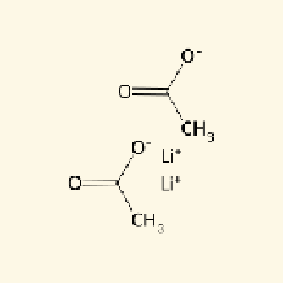 CC(=O)[O-].CC(=O)[O-].[Li+].[Li+]